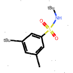 Cc1cc(C(C)(C)C)cc(S(=O)(=O)NC(C)(C)C)c1